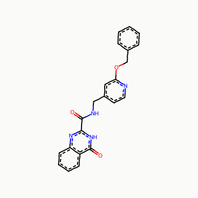 O=C(NCc1ccnc(OCc2ccccc2)c1)c1nc2ccccc2c(=O)[nH]1